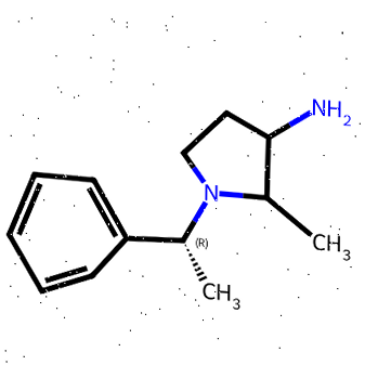 CC1C(N)CCN1[C@H](C)c1ccccc1